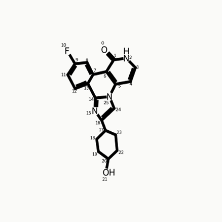 O=c1[nH]ccc2c1c1cc(F)ccc1c1nc(C3CCC(O)CC3)cn21